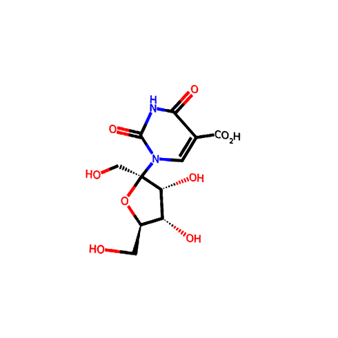 O=C(O)c1cn([C@]2(CO)O[C@H](CO)[C@@H](O)[C@H]2O)c(=O)[nH]c1=O